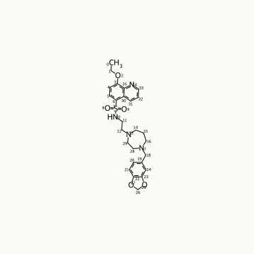 CCOc1ccc(S(=O)(=O)NCCN2CCCN(Cc3ccc4c(c3)OCO4)CC2)c2cccnc12